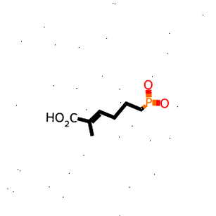 CC(=CCCCP(=O)=O)C(=O)O